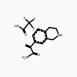 C=C(C(N)=O)c1ccc2c(c1)CNCC2.O=C(O)C(F)(F)F